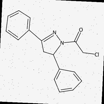 O=C(CCl)N1N=C(c2ccccc2)CC1c1ccccc1